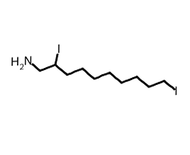 NCC(I)CCCCCCCCI